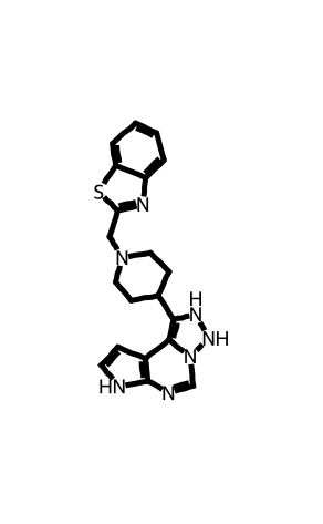 C1=Nc2[nH]ccc2C2=C(C3CCN(Cc4nc5ccccc5s4)CC3)NNN12